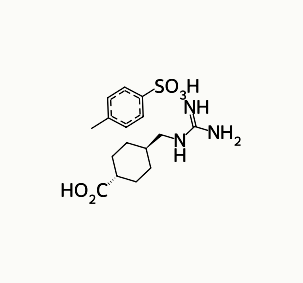 Cc1ccc(S(=O)(=O)O)cc1.N=C(N)NC[C@H]1CC[C@H](C(=O)O)CC1